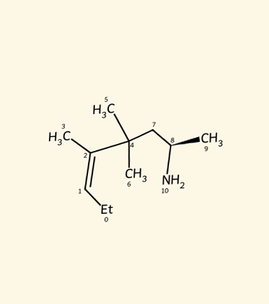 CC/C=C(/C)C(C)(C)C[C@@H](C)N